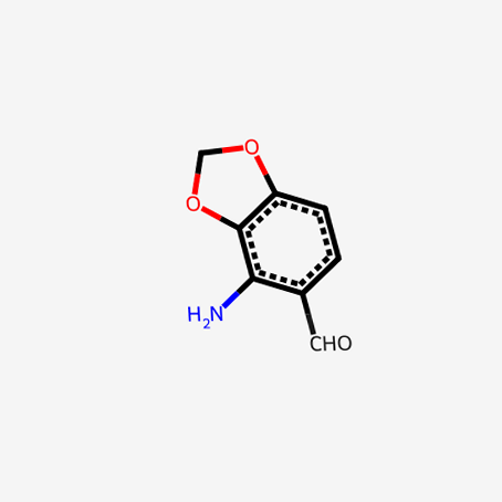 Nc1c(C=O)ccc2c1OCO2